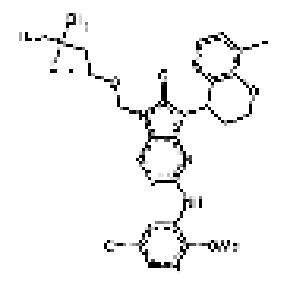 COc1ncc(Cl)cc1Nc1ncc2c(n1)n(C1CCOc3c(F)cccc31)c(=O)n2COCC[Si](C)(C)C